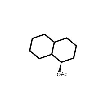 CC(=O)O[C@@H]1CCCC2CCCCC21